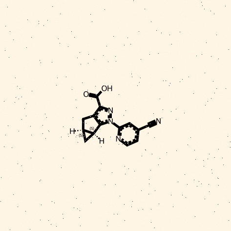 N#Cc1ccnc(-n2nc(C(=O)O)c3c2[C@H]2C[C@H]2C3)c1